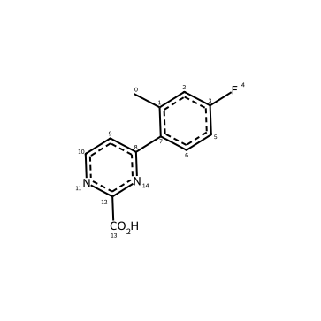 Cc1cc(F)ccc1-c1ccnc(C(=O)O)n1